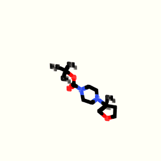 CC(C)(C)OC(=O)N1CCN([C@]2(C)CCOC2)CC1